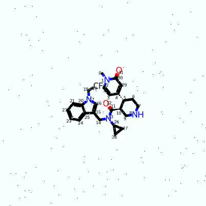 Cn1ccc([C@@H]2CCNC[C@H]2C(=O)N(Cc2cn(CC(F)(F)F)c3ccccc23)C2CC2)cc1=O